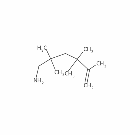 C=C(C)C(C)(C)CC(C)(C)CN